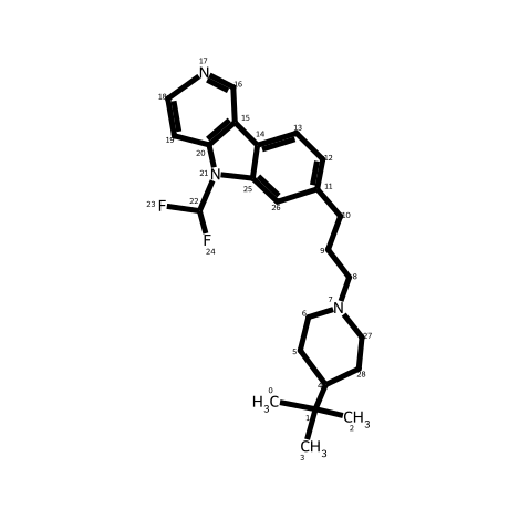 CC(C)(C)C1CCN(CCCc2ccc3c4cnccc4n(C(F)F)c3c2)CC1